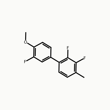 COc1ccc(-c2ccc(C)c(F)c2F)cc1F